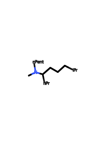 CCCCCN(C)C(CCC)CCCC(C)C